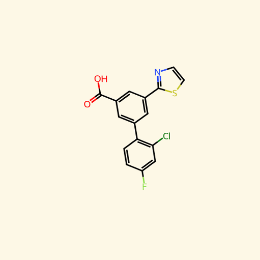 O=C(O)c1cc(-c2nccs2)cc(-c2ccc(F)cc2Cl)c1